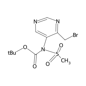 CC(C)(C)OC(=O)N(c1cncnc1CBr)S(C)(=O)=O